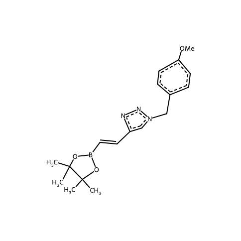 COc1ccc(Cn2cc(C=CB3OC(C)(C)C(C)(C)O3)nn2)cc1